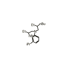 CCCCC(CC)CN(CC(CC)CCCC)c1cccc(C(C)C)c1